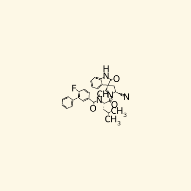 CC(C)C[C@@H](C(=O)N1C[C@]2(C[C@H]1C#N)C(=O)Nc1ccccc12)N(C)C(=O)c1ccc(F)c(-c2ccccc2)c1